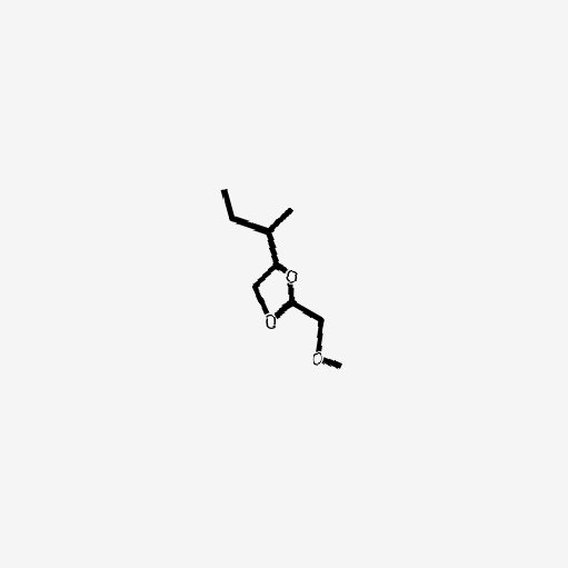 CCC(C)C1COC(COC)O1